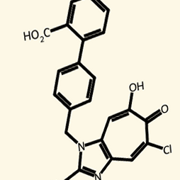 CCCCc1nc2cc(Cl)c(=O)c(O)cc2n1Cc1ccc(-c2ccccc2C(=O)O)cc1